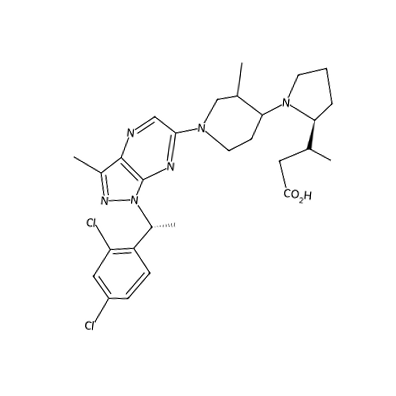 Cc1nn([C@H](C)c2ccc(Cl)cc2Cl)c2nc(N3CCC(N4CCC[C@H]4C(C)CC(=O)O)C(C)C3)cnc12